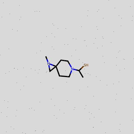 CC(S)N1CCC2(CC1)CN2C